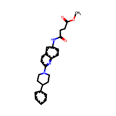 COC(=O)CCC(=O)Nc1ccc2nc(N3CCC(c4ccccc4)CC3)ccc2c1